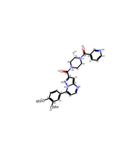 COc1ccc(-c2ccnc3cc(C(=O)N4CCN(C(=O)c5cccnc5)[C@@H](C)C4)nn23)cc1OC